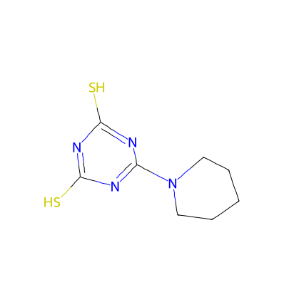 Sc1nc(S)nc(N2CCCCC2)n1